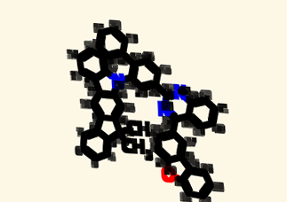 CC1(C)c2ccccc2-c2cc3c4ccccc4n(-c4cc(-c5nc(-c6ccc7oc8ccccc8c7c6)c6ccccc6n5)ccc4-c4ccccc4)c3cc21